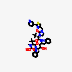 CN(C(=O)O)[C@H](C(=O)N[C@@H](Cc1ccccc1)[C@H](O)C[C@H](Cc1ccccc1)NC(=O)[C@@H](N1CCN(Cc2csc(-c3cccnc3)n2)C1=O)C(C)(C)C)C(C)(C)C